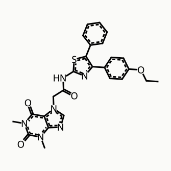 CCOc1ccc(-c2nc(NC(=O)Cn3cnc4c3c(=O)n(C)c(=O)n4C)sc2-c2ccccc2)cc1